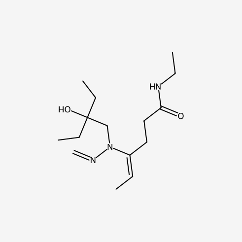 C=NN(CC(O)(CC)CC)/C(=C\C)CCC(=O)NCC